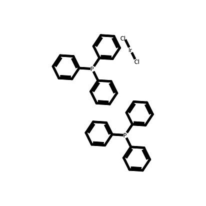 [Cl][Ir][Cl].c1ccc(P(c2ccccc2)c2ccccc2)cc1.c1ccc(P(c2ccccc2)c2ccccc2)cc1